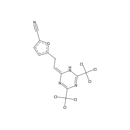 N#Cc1ccc(CC=C2N=C(C(Cl)(Cl)Cl)N=C(C(Cl)(Cl)Cl)N2)o1